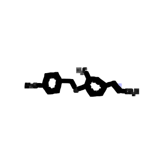 COc1ccc(COc2ccc(/C=C/C(=O)O)cc2C)cc1